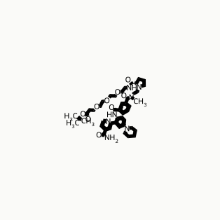 CN(CCN1CCC[C@H]1C(=O)NCCOCCOCCOCCC(=O)OC(C)(C)C)C(=O)c1cccc(C(=O)Nc2ccc(N3CCCCC3)cc2-c2cc(C(N)=O)ccn2)c1